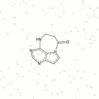 O=C1CCNc2ncnc3ccn1c23